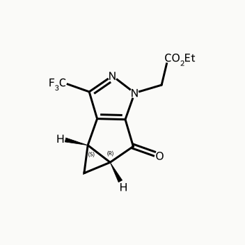 CCOC(=O)Cn1nc(C(F)(F)F)c2c1C(=O)[C@@H]1C[C@H]21